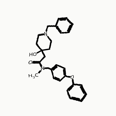 CN(C(=O)CC1(O)CCN(Cc2ccccc2)CC1)c1ccc(Oc2ccccc2)cc1